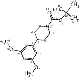 COc1cc(OC)cc(C2CCN(C(=O)OC(C)(C)C)CC2)c1